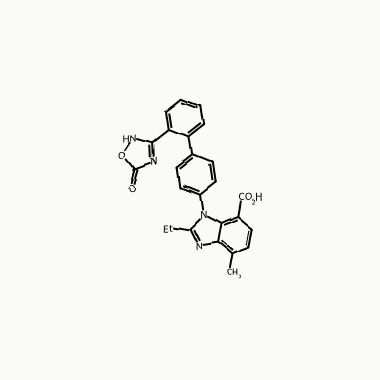 CCc1nc2c(C)ccc(C(=O)O)c2n1-c1ccc(-c2ccccc2-c2nc(=O)o[nH]2)cc1